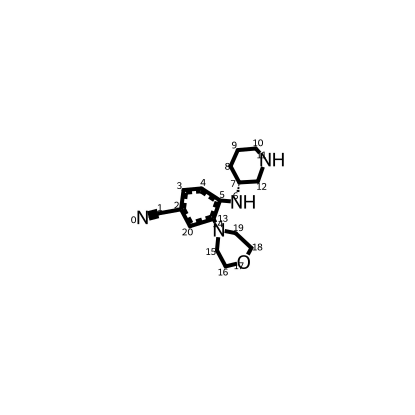 N#Cc1ccc(N[C@@H]2CCCNC2)c(N2CCOCC2)c1